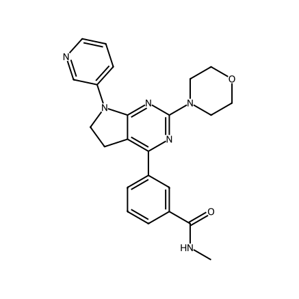 CNC(=O)c1cccc(-c2nc(N3CCOCC3)nc3c2CCN3c2cccnc2)c1